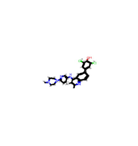 CC(=O)c1c(C)nc2ccc(-c3cc(Cl)c(O)c(Cl)c3)cc2c1Nc1ccc(N2CCN(C)CC2)nc1